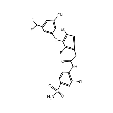 CCc1ccc(CC(=O)Nc2ccc(S(N)(=O)=O)cc2Cl)c(F)c1Oc1cc(C#N)cc(C(F)F)c1